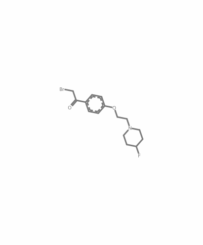 O=C(CBr)c1ccc(OCCN2CCC(F)CC2)cc1